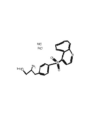 Cl.Cl.NC(CO)Cc1ccc(S(=O)(=O)c2ccnc3ccccc23)cc1